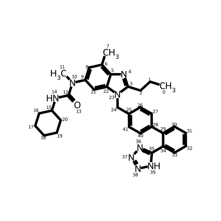 CCCc1nc2c(C)cc(N(C)C(=O)NC3CCCCC3)cc2n1Cc1ccc(-c2ccccc2-c2nnn[nH]2)cc1